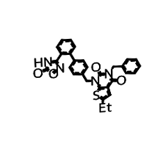 CCc1cc2c(=O)n(Cc3ccccc3)c(=O)n(Cc3ccc(-c4ccccc4-c4noc(=O)[nH]4)cc3)c2s1